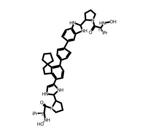 CC(C)[C@H](NO)C(=O)N1CCCC1C1NC=C(c2ccc(-c3ccc(-c4ccc5c(c4)NC(C4CCCN4C(=O)[C@@H](NO)C(C)C)N5)cc3)c3c2CCC32CCCC2)N1